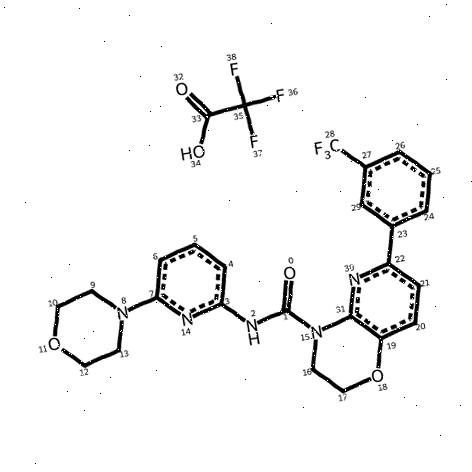 O=C(Nc1cccc(N2CCOCC2)n1)N1CCOc2ccc(-c3cccc(C(F)(F)F)c3)nc21.O=C(O)C(F)(F)F